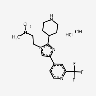 CN(C)CCn1cc(-c2ccnc(C(F)(F)F)c2)nc1C1CCNCC1.Cl.Cl